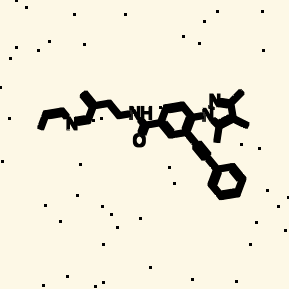 C=C(/C=N\C=C/C)CCNC(=O)c1ccc(-n2nc(C)c(C)c2C)c(C#Cc2ccccc2)c1